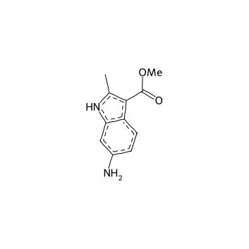 COC(=O)c1c(C)[nH]c2cc(N)ccc12